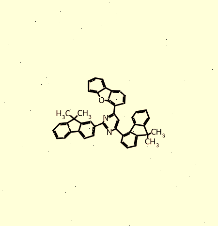 CC1(C)c2ccccc2-c2ccc(-c3nc(-c4cccc5c4-c4ccccc4C5(C)C)cc(-c4cccc5c4oc4ccccc45)n3)cc21